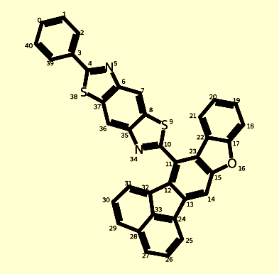 c1ccc(-c2nc3cc4sc(-c5c6c(cc7oc8ccccc8c57)-c5cccc7cccc-6c57)nc4cc3s2)cc1